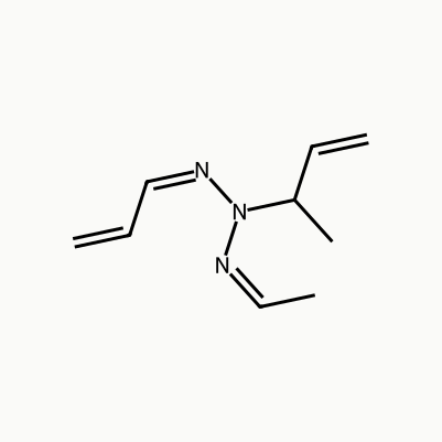 C=C/C=N\N(/N=C\C)C(C)C=C